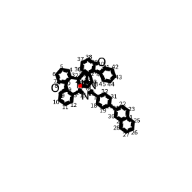 C1=CC(c2cccc3oc4cccc(-c5nc(-c6ccc(-c7ccc8ccccc8c7)cc6)nc(-c6cccc7oc8ccccc8c67)n5)c4c23)=CCC1